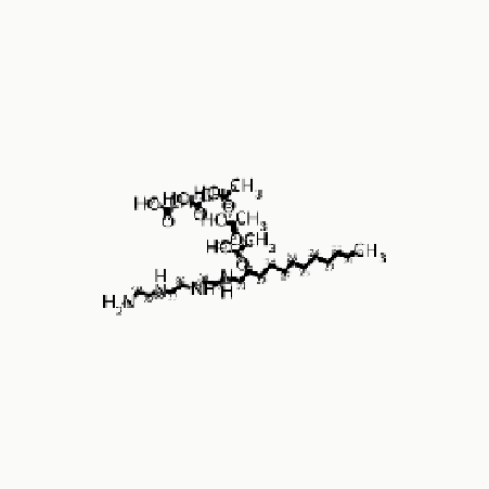 CC(=O)O.CC(=O)O.CC(=O)O.CC(=O)O.CC(=O)O.CCCCCCCCCCCCNCCNCCNCCN